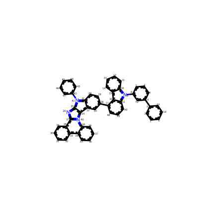 c1ccc(-c2cccc(-n3c4ccccc4c4c(-c5ccc6c(c5)c5c(nc7c8ccccc8c8ccccc8n75)n6-c5ccccc5)cccc43)c2)cc1